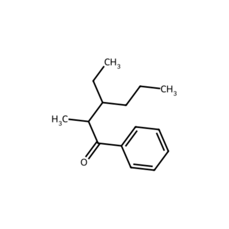 CCCC(CC)C(C)C(=O)c1ccccc1